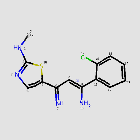 CC(C)Nc1ncc(C(=N)/C=C(\N)c2ccccc2Cl)s1